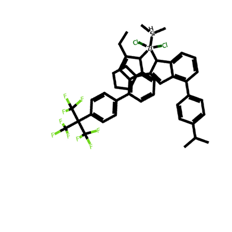 CCC1=Cc2c(-c3ccc(C(C(F)(F)F)(C(F)(F)F)C(F)(F)F)cc3)cccc2[CH]1[Zr]([Cl])([Cl])([CH]1C(C2CCCC2)=Cc2c(-c3ccc(C(C)C)cc3)cccc21)[SiH](C)C